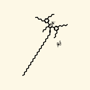 CCCCCCCCCCCCCCCCCCCCCCCCCCC#CC1=C(c2cc(CCCC)cc(CCCCC)c2)[N+](=[N-])C(c2cc(CCCC)cc(CCCCC)c2)=C1CCCC.[I][Pd][I]